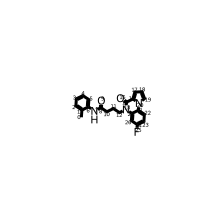 Cc1ccccc1NC(=O)CCCn1c(=O)c2cccn2c2ccc(F)cc21